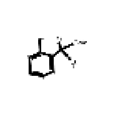 CCC(CC)(OC)c1ccccc1C